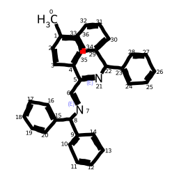 Cc1ccc(C(/C=N/C(c2ccccc2)c2ccccc2)=N\C(c2ccccc2)c2ccccc2)cc1